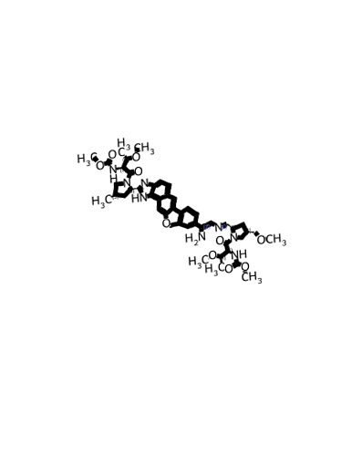 COC[C@H]1C[C@@H](/C=N/C=C(\N)c2ccc3c(c2)COc2cc4c(ccc5nc([C@@H]6C[C@H](C)CN6C(=O)[C@@H](NC(=O)OC)[C@@H](C)OC)[nH]c54)cc2-3)N(C(=O)[C@@H](NC(=O)OC)[C@@H](C)OC)C1